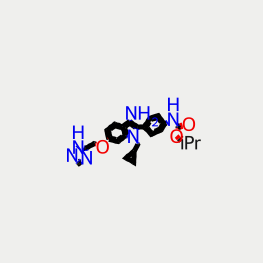 CC(C)OC(=O)Nc1ccc(-c2c(N)c3ccc(OCc4ncn[nH]4)cc3n2CC2CC2)cc1